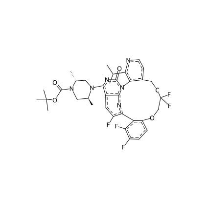 CC(C)c1nccc2c1-n1c(=O)nc(N3C[C@@H](C)N(C(=O)OC(C)(C)C)C[C@@H]3C)c3cc(F)c(nc31)-c1c(ccc(F)c1F)OCC(F)(F)CC2